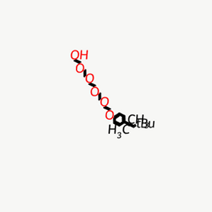 CC(C)(C)CC(C)(C)c1ccc(OCCOCCOCCOCCOCCO)cc1